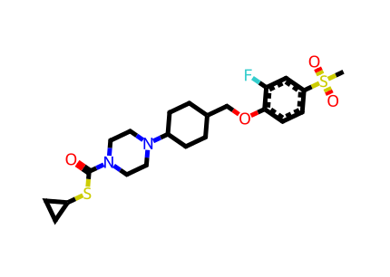 CS(=O)(=O)c1ccc(OCC2CCC(N3CCN(C(=O)SC4CC4)CC3)CC2)c(F)c1